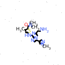 CC1C=C(Nc2nc(CCN)cn3c(-c4cnn(C)c4)cnc23)SC1C(=O)N(C)C